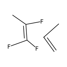 C=CC.CC(F)=C(F)F